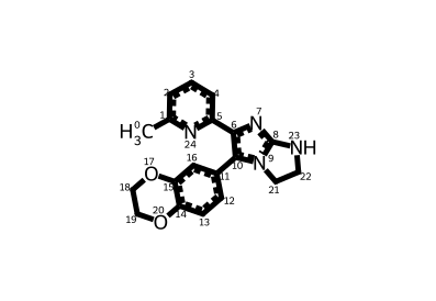 Cc1cccc(-c2nc3n(c2-c2ccc4c(c2)OCCO4)CCN3)n1